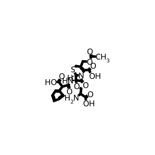 CC(=O)OCC1=C(C(=O)O)N2C(=O)[C@](NC(=O)C(C(=O)O)c3ccccc3)(OCC(N)C(=O)O)[C@H]2SC1